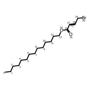 CCCCCCCCCCCCCCOC(=O)/C=C/CBr